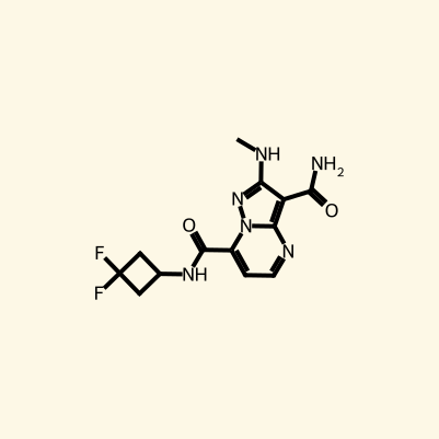 CNc1nn2c(C(=O)NC3CC(F)(F)C3)ccnc2c1C(N)=O